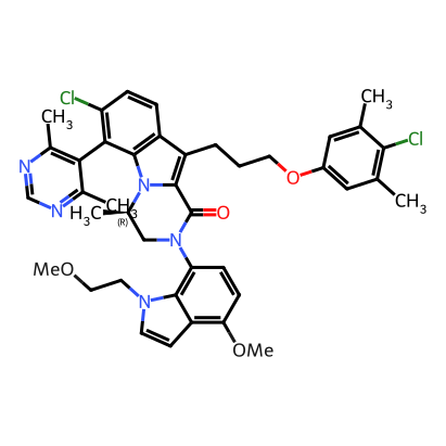 COCCn1ccc2c(OC)ccc(N3C[C@@H](C)n4c(c(CCCOc5cc(C)c(Cl)c(C)c5)c5ccc(Cl)c(-c6c(C)ncnc6C)c54)C3=O)c21